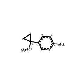 CCc1ccc(C2(NC)CC2)cc1